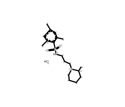 Cc1cc(C)c(S(=O)(=O)NCCCN2CCCCC2C)c(C)c1.Cl